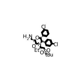 CC[C@@H](CS(=O)(=O)C(C)(C)C)N1C(=O)[C@@H](CN)O[C@H](c2cccc(Cl)c2)[C@H]1c1ccc(Cl)cc1